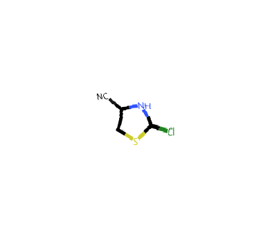 N#CC1CSC(Cl)N1